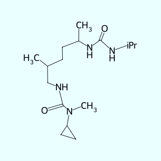 CC(CCC(C)NC(=O)NC(C)C)CNC(=O)N(C)C1CC1